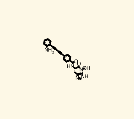 Nc1ccccc1C#CC#Cc1ccc(C(=O)N[C@@H](Cc2c[nH]cn2)C(=O)NO)cc1